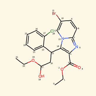 CCOC(=O)c1nc2ccc(Br)cn2c1C(CC(O)OCC)c1ccccc1Cl